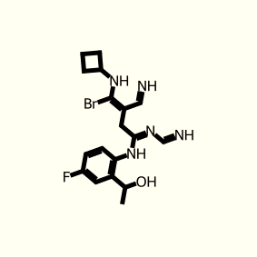 CC(O)c1cc(F)ccc1N/C(C/C(C=N)=C(\Br)NC1CCC1)=N\C=N